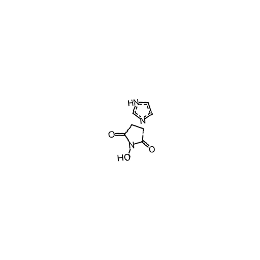 O=C1CCC(=O)N1O.c1c[nH]cn1